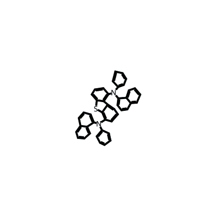 c1ccc(N(c2cccc3ccccc23)c2cccc3c2sc2cccc(N(c4ccccc4)c4cccc5ccccc45)c23)cc1